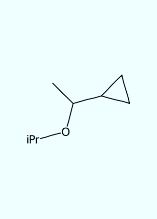 CC(C)OC(C)C1CC1